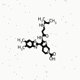 CCC(C)NCCC(=O)Nc1sc2c(c1-c1nc3cc(C)c(C)cc3s1)CCN(C(=O)O)C2